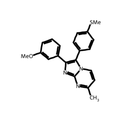 COc1cccc(-c2nc3nc(C)ccn3c2-c2ccc(SC)cc2)c1